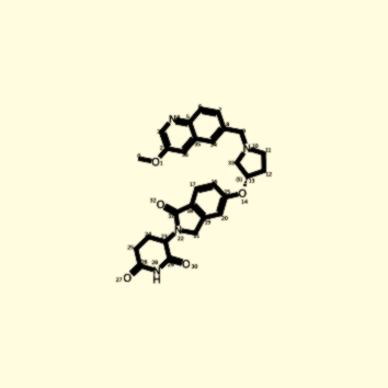 COc1cnc2ccc(CN3CC[C@H](Oc4ccc5c(c4)CN(C4CCC(=O)NC4=O)C5=O)C3)cc2c1